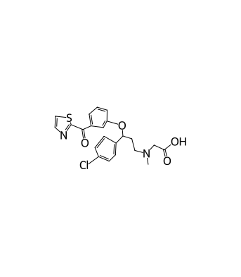 CN(CCC(Oc1cccc(C(=O)c2nccs2)c1)c1ccc(Cl)cc1)CC(=O)O